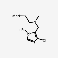 CCCn1cnc(Cl)c1CN(C)CCNC